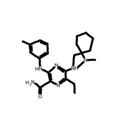 CCc1nc(C(N)=O)c(Nc2cccc(C)c2)nc1NCC1(N(C)C)CCCCC1